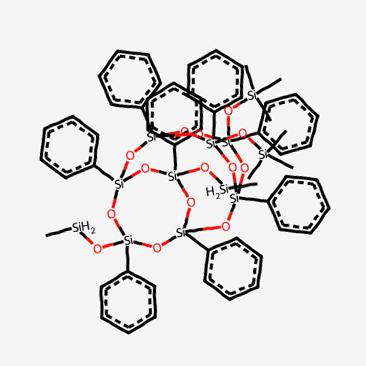 C[SiH2]O[Si]1(c2ccccc2)O[Si]2(c3ccccc3)O[Si](O[SiH2]C)(c3ccccc3)O[Si](c3ccccc3)(O1)O[Si]1(c3ccccc3)O[Si](O[Si](C)(C)C)(c3ccccc3)O[Si](c3ccccc3)(O[Si](O[Si](C)(C)C)(c3ccccc3)O1)O2